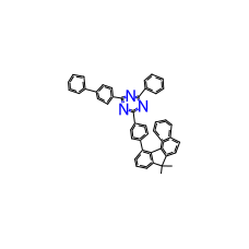 CC1(C)c2cccc(-c3ccc(-c4nc(-c5ccccc5)nc(-c5ccc(-c6ccccc6)cc5)n4)cc3)c2-c2c1ccc1ccccc21